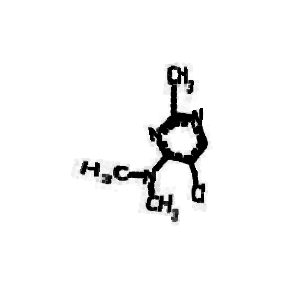 Cc1ncc(Cl)c(N(C)C)n1